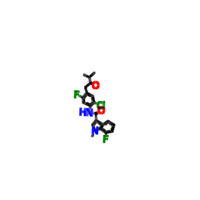 CC(C)C(=O)Cc1cc(Cl)c(NC(=O)c2cn(C)c3c(F)cccc23)cc1F